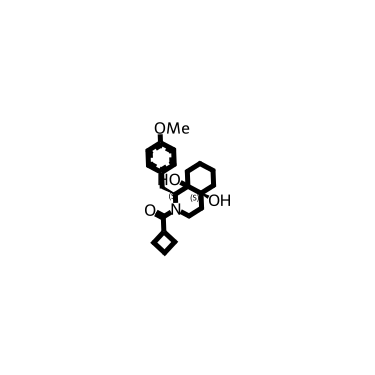 COc1ccc(C[C@@H]2N(C(=O)C3CCC3)CC[C@@]3(O)CCCCC23O)cc1